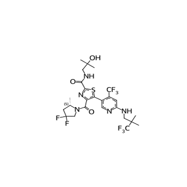 C[C@H]1CC(F)(F)CN1C(=O)c1nc(C(=O)NCC(C)(C)O)sc1-c1cnc(NCC(C)(C)C(F)(F)F)cc1C(F)(F)F